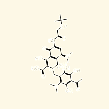 CC(=O)c1c(O)c(O)c(C[C@H]2C(C(=O)O)=C(O)C3=C(C(=[N+](C)C)C=C(NC(=O)CNC(C)(C)C)C3=O)[C@@H]2O)c(N(C)C)c1O